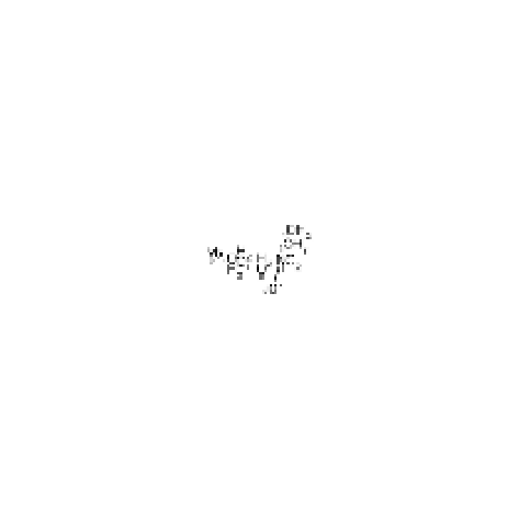 O.O.O.O.O.O=[N+]([O-])[O-].[Yb]